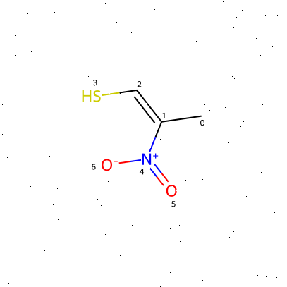 CC(=CS)[N+](=O)[O-]